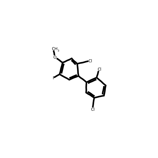 COc1cc(Cl)c(-c2cc(Cl)ccc2Cl)cc1I